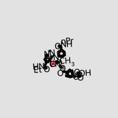 CCCNC(=O)c1ccc(C)c(N(C(=O)OCOC(=O)c2ccc(OP(=O)(O)O)cc2)c2ncnn3cc(C(=O)NCC)c(C)c23)c1